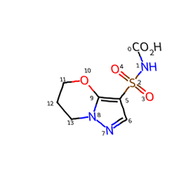 O=C(O)NS(=O)(=O)c1cnn2c1OCCC2